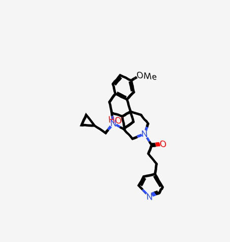 COc1ccc2c(c1)C13CCN(C(=O)CCc4ccncc4)CCC1(O)C(C2)N(CC1CC1)CC3